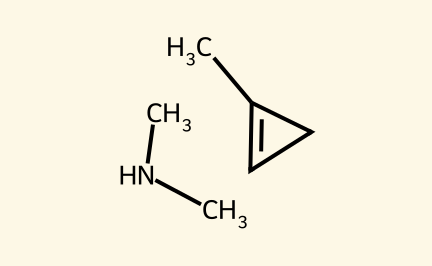 CC1=CC1.CNC